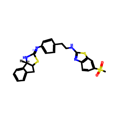 CS(=O)(=O)c1ccc2nc(NCCc3ccc(/N=C4/N[C@H]5c6ccccc6CC5S4)cc3)sc2c1